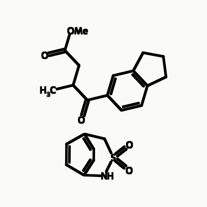 COC(=O)CC(C)C(=O)c1ccc2c(c1)CCC2.O=S1(=O)Cc2ccc(cc2)N1